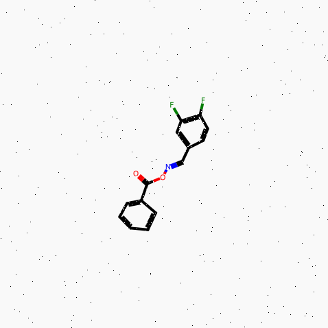 O=C(ON=Cc1ccc(F)c(F)c1)c1ccccc1